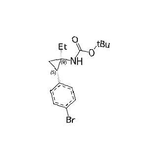 CC[C@@]1(NC(=O)OC(C)(C)C)C[C@H]1c1ccc(Br)cc1